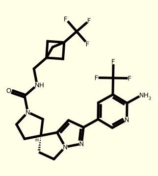 Nc1ncc(-c2cc3n(n2)CC[C@@]32CCN(C(=O)NCC34CC(C(F)(F)F)(C3)C4)C2)cc1C(F)(F)F